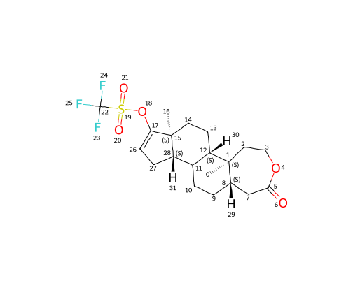 C[C@]12CCOC(=O)C[C@@H]1CCC1[C@@H]2CC[C@]2(C)C(OS(=O)(=O)C(F)(F)F)=CC[C@@H]12